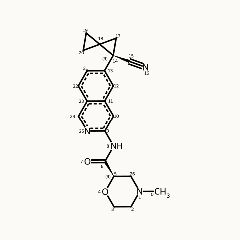 CN1CCO[C@@H](C(=O)Nc2cc3cc([C@@]4(C#N)CC45CC5)ccc3cn2)C1